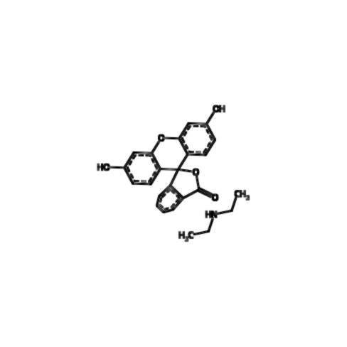 CCNCC.O=C1OC2(c3ccc(O)cc3Oc3cc(O)ccc32)c2ccccc21